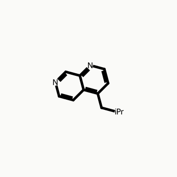 CC(C)Cc1ccnc2cnccc12